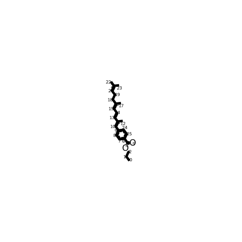 CCCOC(=O)c1ccc(/C=C(C)/C=C/C=C(\C)CCC=C(C)C)cc1